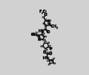 Cn1nc(COC(F)(F)F)cc1C(=O)Nc1cc([C@@H]2C[C@@H](F)[C@H](OC(=O)NC34CC(C3)C4)C2)nn1C(C)(C)C